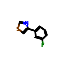 Fc1[c]c(-c2cscn2)ccc1